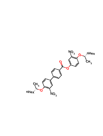 CCCCCC[C@H](C)Oc1ccc(OC(=O)c2ccc(-c3ccc(O[C@@H](C)CCCCCC)c([N+](=O)[O-])c3)cc2)cc1[N+](=O)[O-]